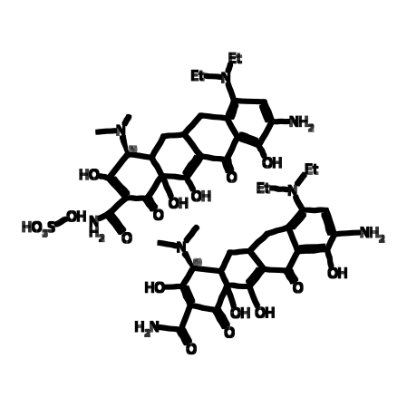 CCN(CC)c1cc(N)c(O)c2c1CC1CC3[C@H](N(C)C)C(O)=C(C(N)=O)C(=O)C3(O)C(O)=C1C2=O.CCN(CC)c1cc(N)c(O)c2c1CC1CC3[C@H](N(C)C)C(O)=C(C(N)=O)C(=O)C3(O)C(O)=C1C2=O.O=S(=O)(O)O